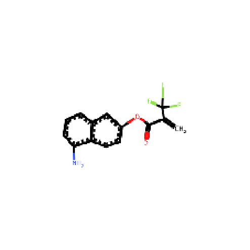 C=C(C(=O)Oc1ccc2c(N)cccc2c1)C(F)(F)F